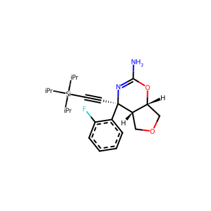 CC(C)[Si](C#C[C@]1(c2ccccc2F)N=C(N)O[C@@H]2COC[C@@H]21)(C(C)C)C(C)C